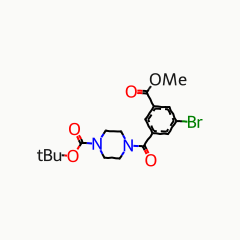 COC(=O)c1cc(Br)cc(C(=O)N2CCN(C(=O)OC(C)(C)C)CC2)c1